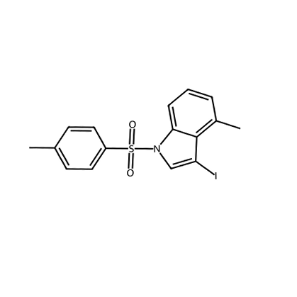 Cc1ccc(S(=O)(=O)n2cc(I)c3c(C)cccc32)cc1